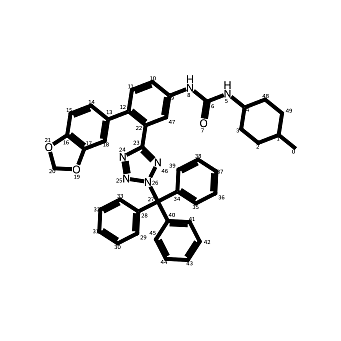 CC1CCC(NC(=O)Nc2ccc(-c3ccc4c(c3)OCO4)c(-c3nnn(C(c4ccccc4)(c4ccccc4)c4ccccc4)n3)c2)CC1